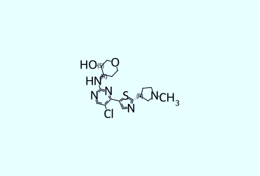 CN1CC[C@@H](c2ncc(-c3nc(N[C@@H]4CCOC[C@H]4O)ncc3Cl)s2)C1